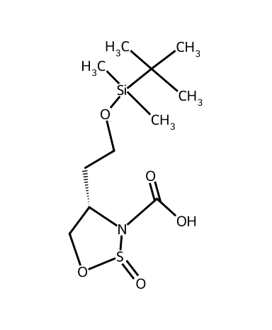 CC(C)(C)[Si](C)(C)OCC[C@H]1COS(=O)N1C(=O)O